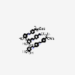 CCCCCCCCCCOC(=O)c1ccc(/C=C/c2ccc(O)c(O)c2)cc1.CCOC(=O)/C=C/c1ccc(/C=C/c2ccc(O)c(O)c2)cc1.COC(=O)c1ccc(/C=C/c2ccc(/C=C/c3ccc(O)c(O)c3)cc2)cc1